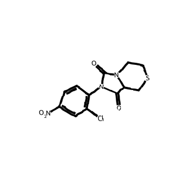 O=C1C2CSCCN2C(=O)N1c1ccc([N+](=O)[O-])cc1Cl